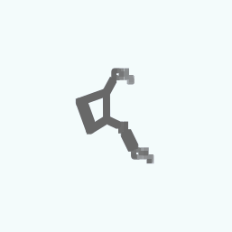 C=NC1C=CC1C